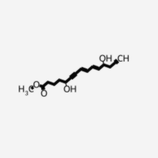 C#CC[C@@H](O)/C=C/C=C/C#C[C@H](O)CCCC(=O)OC